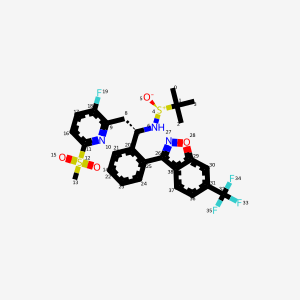 CC(C)(C)[S@+]([O-])N[C@@H](Cc1nc(S(C)(=O)=O)ccc1F)c1ccccc1-c1noc2cc(C(F)(F)F)ccc12